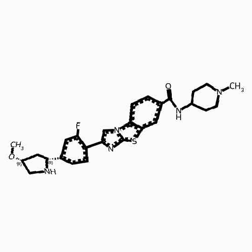 CO[C@H]1CN[C@@H](c2ccc(-c3cn4c(n3)sc3cc(C(=O)NC5CCN(C)CC5)ccc34)c(F)c2)C1